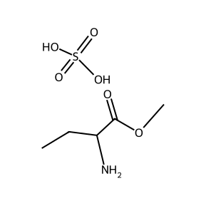 CCC(N)C(=O)OC.O=S(=O)(O)O